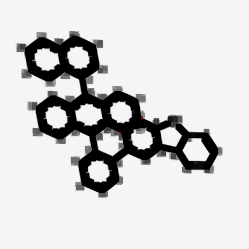 C1=CC2Oc3ccc(-c4ccccc4-c4c5ccccc5c(-c5cccc6ccccc56)c5ccccc45)cc3C2C=C1